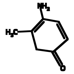 CC1=C(N)C=CC(=O)C1